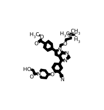 COC(=O)c1ccc(-c2cc3c(-c4ccc(OC5CCN(C(=O)CO)CC5)c(C#N)c4)ncnc3n2COCC[Si](C)(C)C)cc1